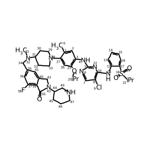 Cc1cc(Nc2ncc(Cl)c(Nc3ccccc3S(=O)(=O)C(C)C)n2)c(OC(C)C)cc1N1CCC(N(C)Cc2cc(F)c3c(c2)CN(C2CCCNC2)C3=O)CC1